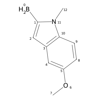 Bc1cc2cc(OC)ccc2n1C